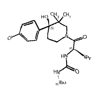 CC[C@@H](C)NC(=O)N[C@@H](C(=O)N1CC[C@](O)(c2ccc(Cl)cc2)C(C)(C)C1)C(C)C